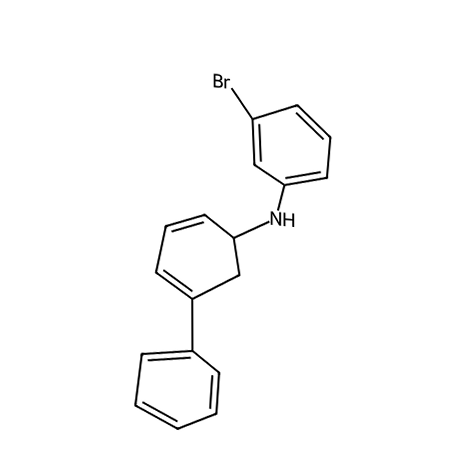 Brc1cccc(NC2C=CC=C(c3ccccc3)C2)c1